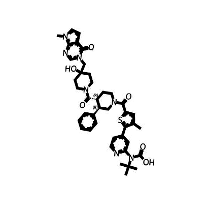 Cc1cc(C(=O)N2CC[C@@H](C(=O)N3CCC(O)(Cn4cnc5c(ccn5C)c4=O)CC3)[C@H](c3ccccc3)C2)sc1-c1ccnc(N(C(=O)O)C(C)(C)C)c1